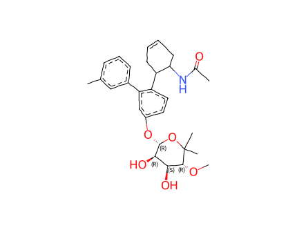 CO[C@@H]1[C@@H](O)[C@@H](O)[C@H](Oc2ccc(C3CC=CCC3NC(C)=O)c(-c3cccc(C)c3)c2)OC1(C)C